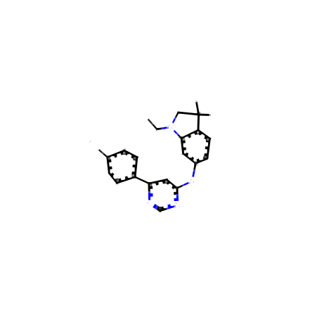 CC1(C)CN(CC=O)c2cc(Nc3cc(-c4ccc(C(F)(F)F)cc4)ncn3)ccc21